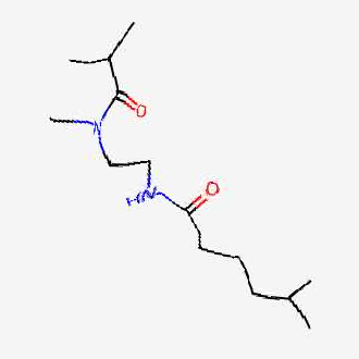 CC(C)CCCC(=O)NCCN(C)C(=O)C(C)C